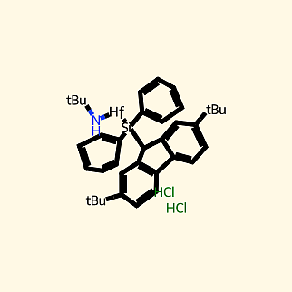 CC(C)(C)[NH][Hf][Si](c1ccccc1)(c1ccccc1)C1c2cc(C(C)(C)C)ccc2-c2ccc(C(C)(C)C)cc21.Cl.Cl